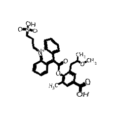 COC(C)Cc1cc(C(=O)O)cc(C)c1OC(=O)c1c2ccccc2[n+](CCCS(=O)(=O)O)c2ccccc12